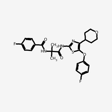 CC(C)(NC(=O)c1ccc(F)cc1)C(=O)Nc1nc(C2CCOCC2)c(Oc2ccc(F)cc2)s1